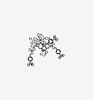 CCOP(OCC)(OCC)=C(C(=O)OCc1ccc([N+](=O)[O-])cc1)N1C(=O)C(C(C)OC(=O)OCc2ccc([N+](=O)[O-])cc2)C1CC(=O)SC1CCN(C(=O)OCc2ccc([N+](=O)[O-])cc2)CC1C(=O)OC